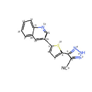 N#Cc1n[nH]nc1-c1ccc(-c2cnc3ccccc3c2)s1